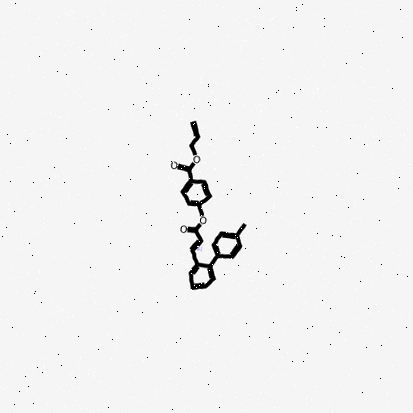 C=CCOC(=O)c1ccc(OC(=O)/C=C/c2ccccc2-c2ccc(C)cc2)cc1